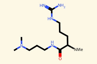 CNC(CCCNC(=N)N)C(=O)NCCCN(C)C